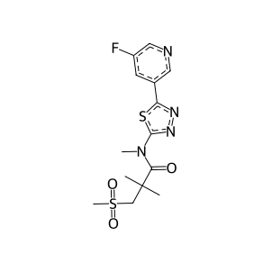 CN(C(=O)C(C)(C)CS(C)(=O)=O)c1nnc(-c2cncc(F)c2)s1